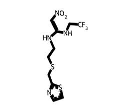 O=[N+]([O-])C=C(NCCSCc1nccs1)NCC(F)(F)F